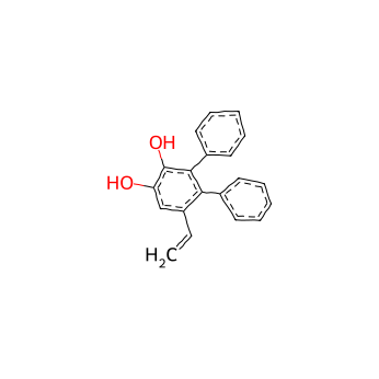 C=Cc1cc(O)c(O)c(-c2ccccc2)c1-c1ccccc1